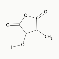 CC1C(=O)OC(=O)C1OI